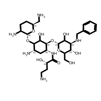 NCC[C@H](O)C(=O)N[C@@H]1C[C@H](N)C(O[C@H]2O[C@H](CN)CCC2N)C(O)[C@H]1O[C@H]1OC(CO)[C@@H](O)[C@H](NCc2ccccc2)C1O